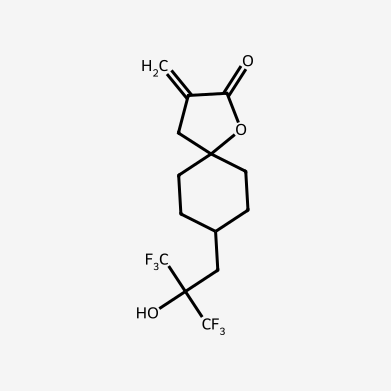 C=C1CC2(CCC(CC(O)(C(F)(F)F)C(F)(F)F)CC2)OC1=O